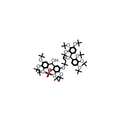 CC(C)(C)Oc1ccc(C(O)c2ccc(OC(C)(C)C)c(OC(C)(C)C)c2OC(C)(C)CCC(C)(C)Oc2cc(C(O)c3cc(OC(C)(C)C)c(OC(C)(C)C)c(OC(C)(C)C)c3OC(C)(C)C)c(OC(C)(C)C)c(OC(C)(C)C)c2OC(C)(C)C)c(OC(C)(C)C)c1OC(C)(C)C